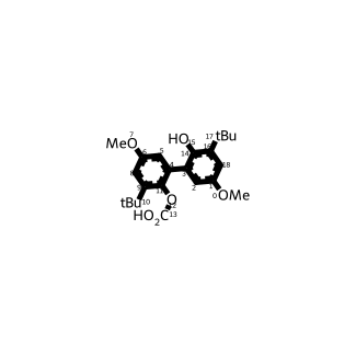 COc1cc(-c2cc(OC)cc(C(C)(C)C)c2OC(=O)O)c(O)c(C(C)(C)C)c1